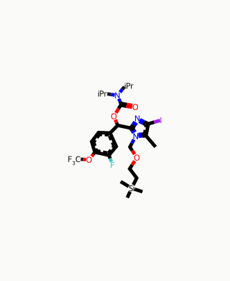 Cc1c(I)nc(C(OC(=O)N(C(C)C)C(C)C)c2ccc(OC(F)(F)F)c(F)c2)n1COCC[Si](C)(C)C